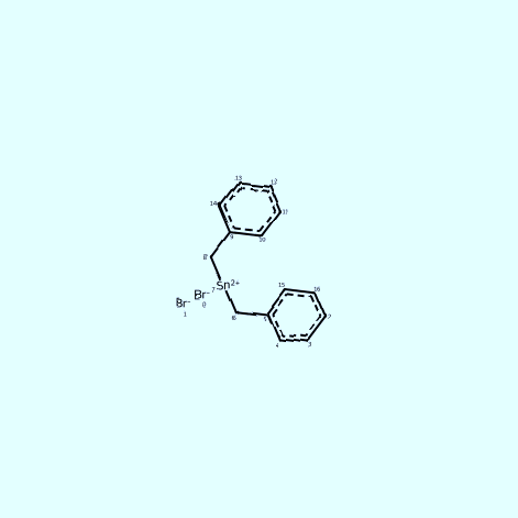 [Br-].[Br-].c1ccc([CH2][Sn+2][CH2]c2ccccc2)cc1